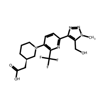 Cn1nnc(-c2ccc(N3CCC[C@H](CC(=O)O)C3)c(C(F)(F)F)n2)c1CO